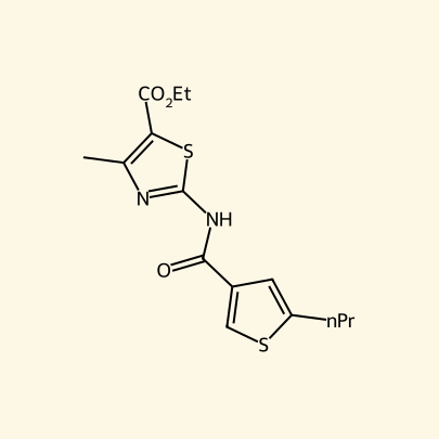 CCCc1cc(C(=O)Nc2nc(C)c(C(=O)OCC)s2)cs1